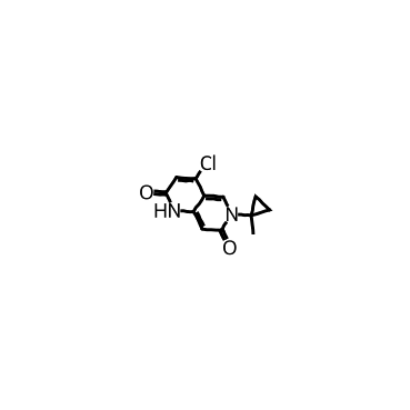 CC1(n2cc3c(Cl)cc(=O)[nH]c3cc2=O)CC1